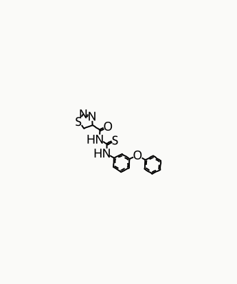 O=C(NC(=S)Nc1cccc(Oc2ccccc2)c1)C1CSN=N1